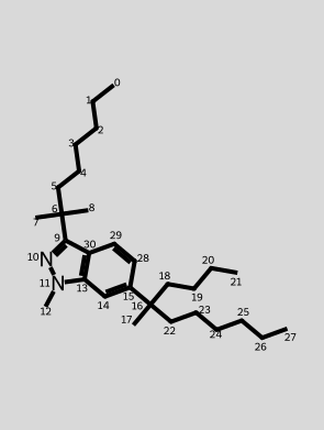 CCCCCCC(C)(C)c1nn(C)c2cc(C(C)(CCCC)CCCCCC)ccc12